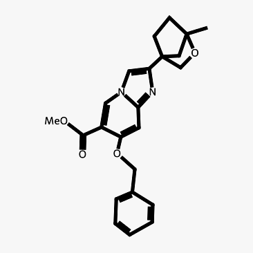 COC(=O)c1cn2cc(C34CCC(C)(C3)OC4)nc2cc1OCc1ccccc1